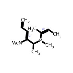 C=C/C=C(\NC)C(C)P(C)/C(C)=C\C